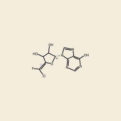 Oc1ncnc2c1ncn2[C@@H]1O/C(=C(/F)Cl)C(O)C1O